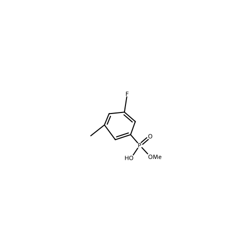 COP(=O)(O)c1cc(C)cc(F)c1